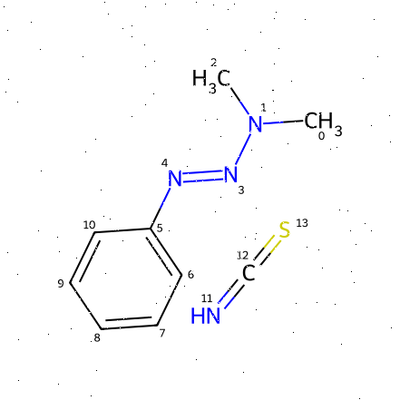 CN(C)N=Nc1ccccc1.N=C=S